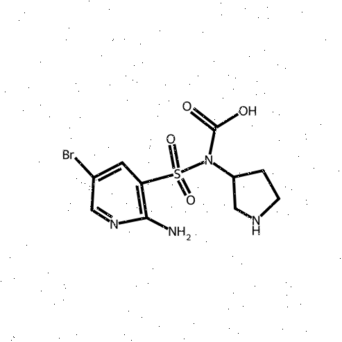 Nc1ncc(Br)cc1S(=O)(=O)N(C(=O)O)C1CCNC1